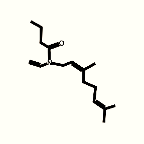 C=CN(C/C=C(/C)CCC=C(C)C)C(=O)CCC